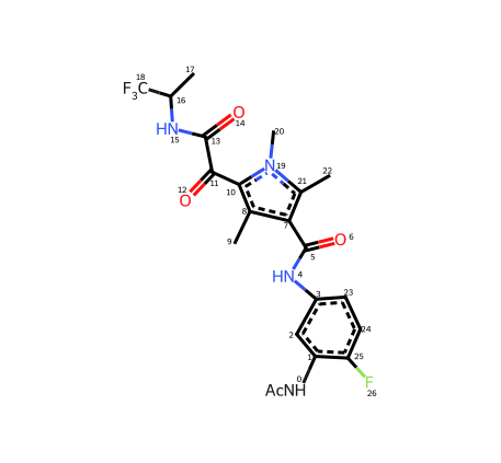 CC(=O)Nc1cc(NC(=O)c2c(C)c(C(=O)C(=O)NC(C)C(F)(F)F)n(C)c2C)ccc1F